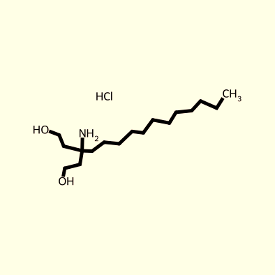 CCCCCCCCCCCCC(N)(CCO)CCO.Cl